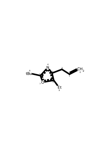 C=CCc1nc(C(C)(C)C)oc1CC